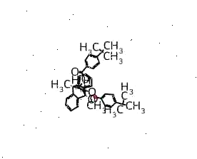 CO[C@]12c3ccccc3[C@](C)(c3ccccc31)[C@H](OC(=O)c1ccc(C(C)(C)C)cc1)[C@@H]2OC(=O)c1ccc(C(C)(C)C)cc1